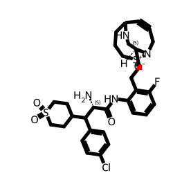 N[C@H](C(=O)Nc1cccc(F)c1CC[C@H]1CNC2C#CCN1[S+]([O-])CCC2)C(c1ccc(Cl)cc1)C1CCS(=O)(=O)CC1